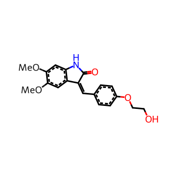 COc1cc2c(cc1OC)C(=Cc1ccc(OCCO)cc1)C(=O)N2